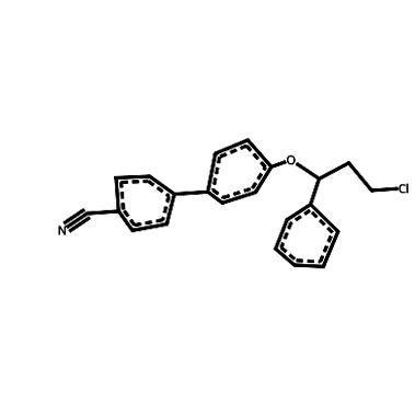 N#Cc1ccc(-c2ccc(OC(CCCl)c3ccccc3)cc2)cc1